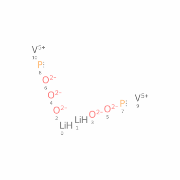 [LiH].[LiH].[O-2].[O-2].[O-2].[O-2].[O-2].[P].[P].[V+5].[V+5]